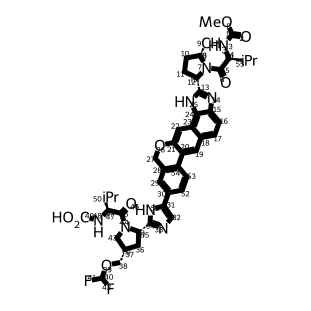 COC(=O)N[C@H](C(=O)N1[C@@H](C)CC[C@H]1c1nc2ccc3cc4c(cc3c2[nH]1)OCc1cc(-c2cnc([C@@H]3C[C@H](COC(F)F)CN3C(=O)[C@@H](NC(=O)O)C(C)C)[nH]2)ccc1-4)C(C)C